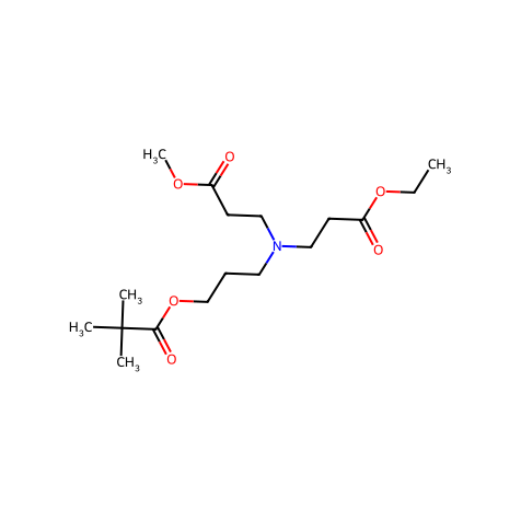 CCOC(=O)CCN(CCCOC(=O)C(C)(C)C)CCC(=O)OC